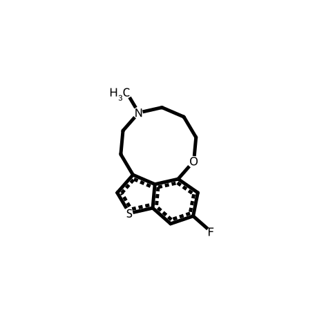 CN1CCCOc2cc(F)cc3scc(c23)CC1